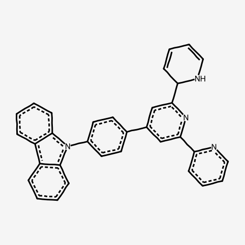 C1=CNC(c2cc(-c3ccc(-n4c5ccccc5c5ccccc54)cc3)cc(-c3ccccn3)n2)C=C1